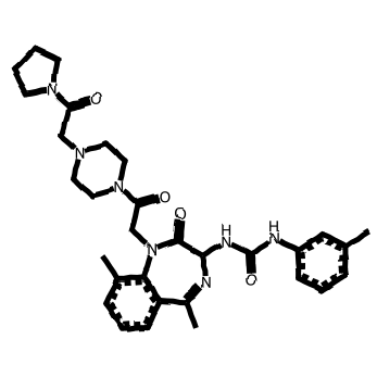 CC1=NC(NC(=O)Nc2cccc(C)c2)C(=O)N(CC(=O)N2CCN(CC(=O)N3CCCC3)CC2)c2c(C)cccc21